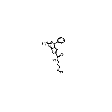 CC(C)OCCCNC(=O)c1cc2c(-c3ccccc3)nc(N)nc2s1